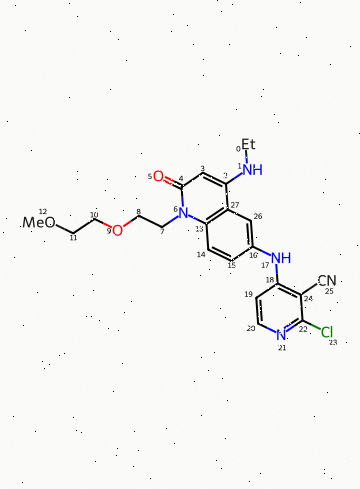 CCNc1cc(=O)n(CCOCCOC)c2ccc(Nc3ccnc(Cl)c3C#N)cc12